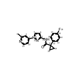 Cc1cc(-n2ccc(NC(=O)C3(c4ccc(F)cc4)CC3)n2)ccn1